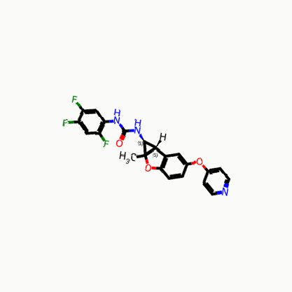 CC12Oc3ccc(Oc4ccncc4)cc3[C@H]1[C@@H]2NC(=O)Nc1cc(F)c(F)cc1F